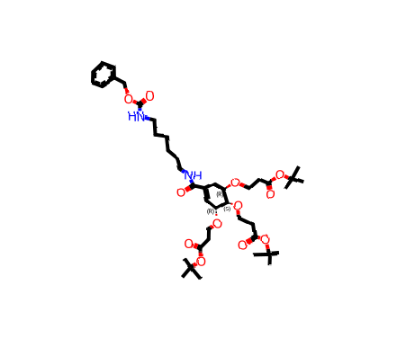 CC(C)(C)OC(=O)CCO[C@@H]1[C@H](OCCC(=O)OC(C)(C)C)C=C(C(=O)NCCCCCCNC(=O)OCc2ccccc2)C[C@H]1OCCC(=O)OC(C)(C)C